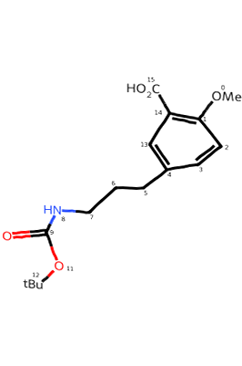 COc1ccc(CCCNC(=O)OC(C)(C)C)cc1C(=O)O